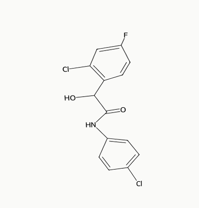 O=C(Nc1ccc(Cl)cc1)C(O)c1ccc(F)cc1Cl